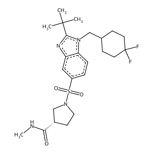 CNC(=O)[C@H]1CCN(S(=O)(=O)c2ccc3c(c2)nc(C(C)(C)C)n3CC2CCC(F)(F)CC2)C1